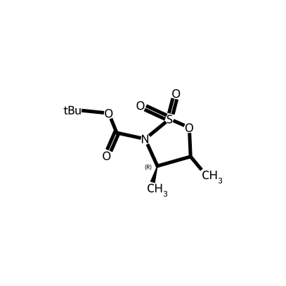 CC1OS(=O)(=O)N(C(=O)OC(C)(C)C)[C@@H]1C